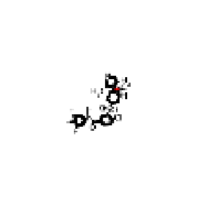 Cc1cnccc1[C@@]1(O)C2CC(S(=O)(=O)c3cc(C(=O)Nc4cc(F)c(F)c(F)c4)ccc3Cl)C[C@@H]1[C@@H](C)C2